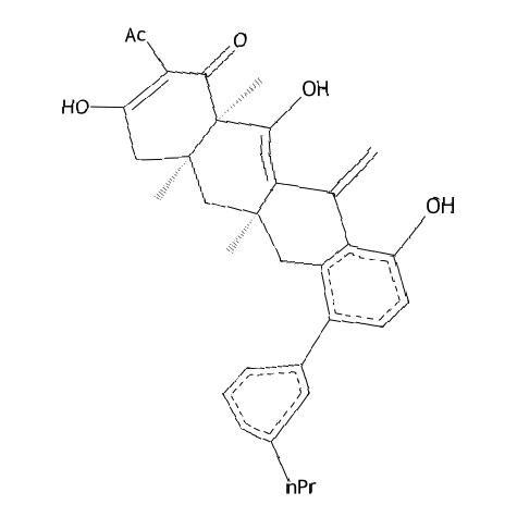 C=C1C2=C(O)[C@]3(C)C(=O)C(C(C)=O)=C(O)C[C@]3(C)C[C@]2(C)Cc2c(-c3cccc(CCC)c3)ccc(O)c21